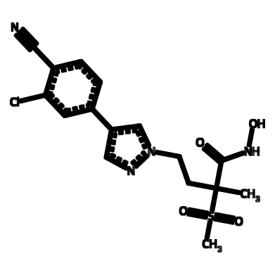 CC(CCn1cc(-c2ccc(C#N)c(Cl)c2)cn1)(C(=O)NO)S(C)(=O)=O